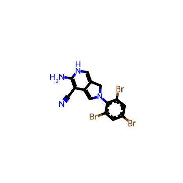 N#CC1=C(N)NC=C2CN(c3c(Br)cc(Br)cc3Br)C=C21